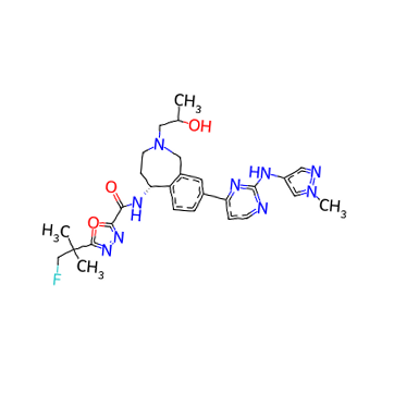 CC(O)CN1CC[C@@H](NC(=O)c2nnc(C(C)(C)CF)o2)c2ccc(-c3ccnc(Nc4cnn(C)c4)n3)cc2C1